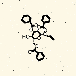 C=CCO[C@H]1O[C@H](COC(=O)c2ccccc2)[C@H](O)[C@H](OC(=O)c2ccccc2)[C@H]1OC(=O)c1ccccc1